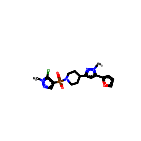 Cn1nc(C2CCN(S(=O)(=O)c3cnn(C)c3Cl)CC2)cc1-c1ccco1